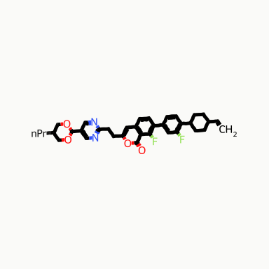 C=CC1CCC(c2ccc(-c3ccc4cc(CCc5ncc(C6OCC(CCC)CO6)cn5)oc(=O)c4c3F)cc2F)CC1